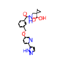 O=C(NCC1(C(=O)O)CC1)c1cccc(COc2ccc(-c3ccn[nH]3)nc2)c1